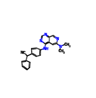 CN(C)c1cc2c(Nc3ccc(C(C#N)c4ccccc4)cc3)ncnc2cn1